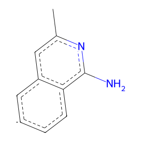 Cc1cc2c[c]ccc2c(N)n1